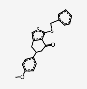 COc1ccc(C2CC(=O)c3c(csc3SCc3ccccc3)C2)cc1